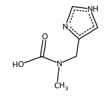 CN(Cc1c[nH]cn1)C(=O)O